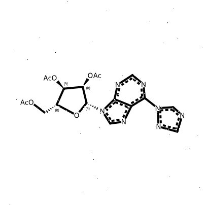 CC(=O)OC[C@H]1O[C@@H](n2cnc3c(-n4cncn4)ncnc32)[C@H](OC(C)=O)[C@@H]1OC(C)=O